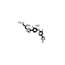 Cl.N[C@@H](CC(=O)O)Cn1nnc(-c2ccc(Oc3ncc(-c4nn[nH]n4)cc3F)cc2F)n1